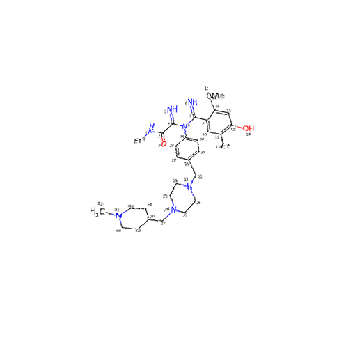 CCNC(=O)C(=N)N(C(=N)c1cc(CC)c(O)cc1OC)c1ccc(CN2CCN(CC3CCN(C)CC3)CC2)cc1